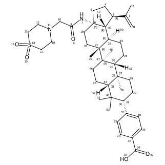 C=C(C)[C@@H]1CC[C@]2(NC(=O)CN3CCS(=O)(=O)CC3)CC[C@]3(C)[C@H](CC[C@@H]4[C@@]5(C)CC[C@H](c6ccc(C(=O)O)cc6)C(C)(C)[C@@H]5CC[C@]43C)[C@@H]12